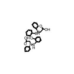 O=C(O)CN(Bc1ccccc1Oc1ccccc1BN(CC(=O)O)c1ccccc1)c1ccccc1